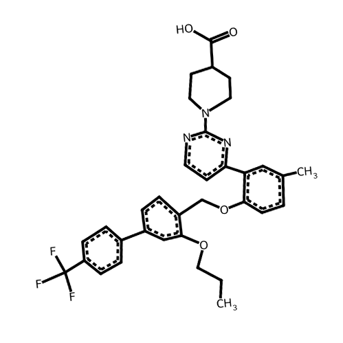 CCCOc1cc(-c2ccc(C(F)(F)F)cc2)ccc1COc1ccc(C)cc1-c1ccnc(N2CCC(C(=O)O)CC2)n1